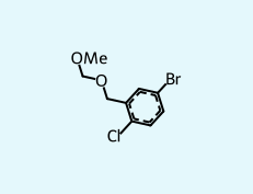 COCOCc1cc(Br)ccc1Cl